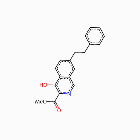 COC(=O)c1ncc2cc(CCc3ccccc3)ccc2c1O